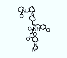 O=C(N[C@@H](C=C1CCN(c2ccccc2CN2CCCCC2=O)CC1)Cc1ccc(Cl)cc1)c1cc(=O)c2cc(-n3ccnc3)ccc2o1